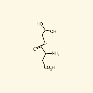 N[C@@H](CC(=O)O)C(=O)OCC(O)O